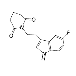 O=C1CCCC(=O)N1CCc1c[nH]c2ccc(F)cc12